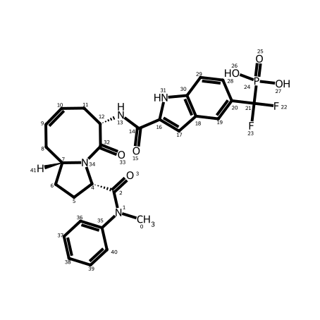 CN(C(=O)[C@@H]1CC[C@@H]2C/C=C\C[C@H](NC(=O)c3cc4cc(C(F)(F)P(=O)(O)O)ccc4[nH]3)C(=O)N21)c1ccccc1